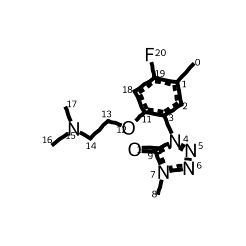 Cc1cc(-n2nnn(C)c2=O)c(OCCN(C)C)cc1F